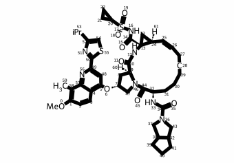 COc1ccc2c(O[C@@H]3C[C@H]4C(=O)N[C@]5(C(=O)NS(=O)(=O)C6CC6)C[C@H]5/C=C\CCCCC[C@H](NC(=O)N5CC6CCCC6C5)C(=O)N4C3)cc(-c3nc(C(C)C)cs3)nc2c1C